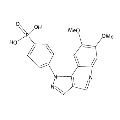 COc1cc2ncc3cnn(-c4ccc(P(=O)(O)O)cc4)c3c2cc1OC